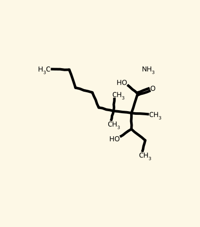 CCCCCC(C)(C)C(C)(C(=O)O)C(O)CC.N